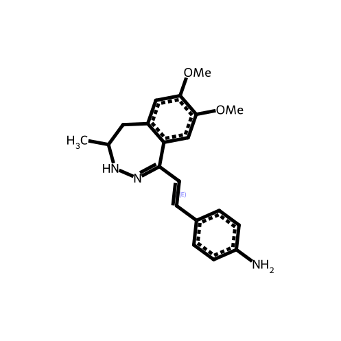 COc1cc2c(cc1OC)C(/C=C/c1ccc(N)cc1)=NNC(C)C2